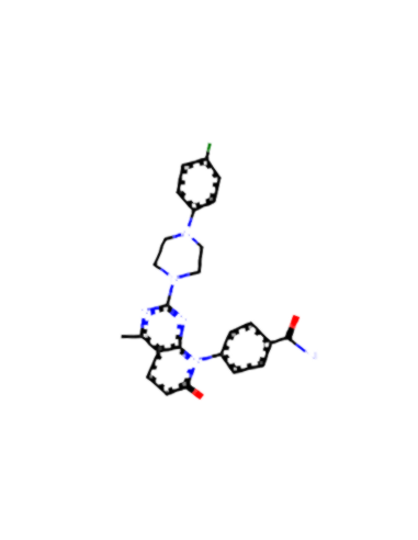 Cc1nc(N2CCN(c3ccc(F)cc3)CC2)nc2c1ccc(=O)n2-c1ccc(C(N)=O)cc1